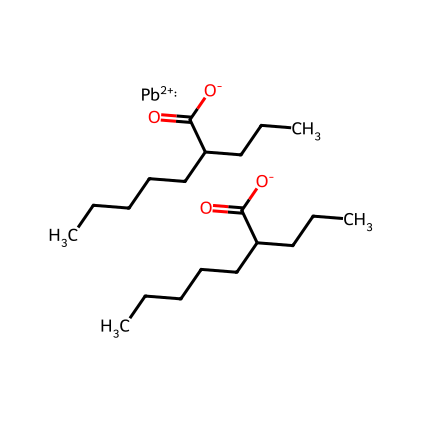 CCCCCC(CCC)C(=O)[O-].CCCCCC(CCC)C(=O)[O-].[Pb+2]